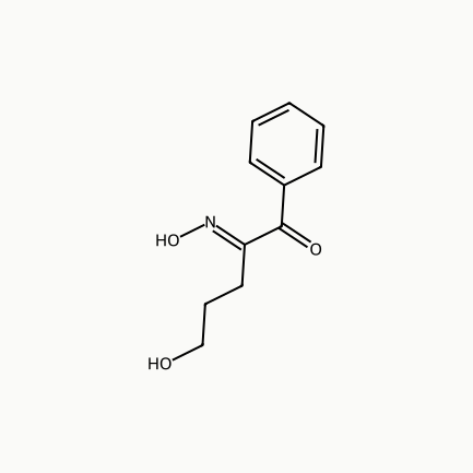 O=C(C(CCCO)=NO)c1ccccc1